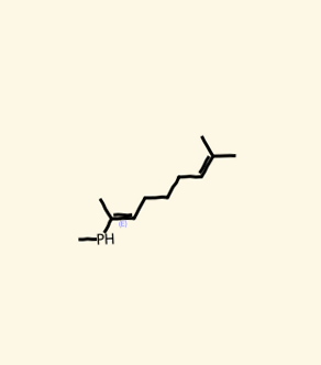 CP/C(C)=C/CCCC=C(C)C